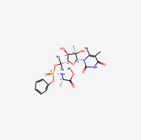 [2H]c1c(C)c(=O)[nH]c(=O)n1[C@@H]1O[C@H](C([2H])([2H])O[P@@](=O)(N[C@@H](C)C(=O)OC(C)C)Oc2ccccc2)[C@@H](O)[C@@]1(C)O